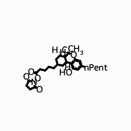 CCCCCc1cc(O)c2c(c1)OC(C)(C)[C@@H]1CCC(CCCCC(=O)ON3C(=O)CCC3=O)C[C@@H]21